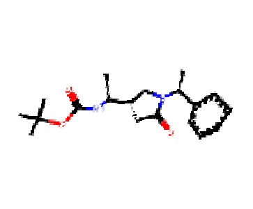 C[C@H](NC(=O)OC(C)(C)C)[C@H]1CC(=O)N([C@@H](C)c2ccccc2)C1